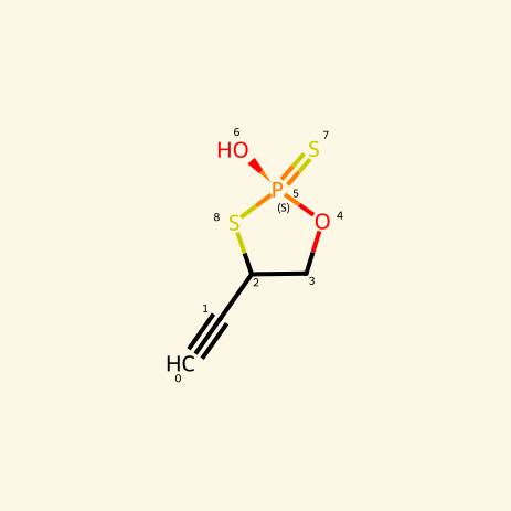 C#CC1CO[P@@](O)(=S)S1